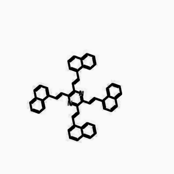 C(=Cc1cccc2ccccc12)c1nc(C=Cc2cccc3ccccc23)c(C=Cc2cccc3ccccc23)nc1C=Cc1cccc2ccccc12